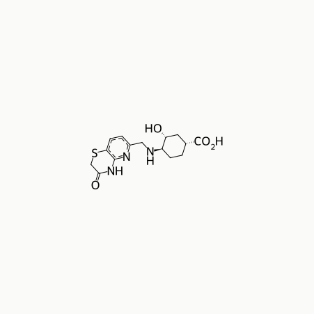 O=C1CSc2ccc(CN[C@@H]3CC[C@@H](C(=O)O)C[C@H]3O)nc2N1